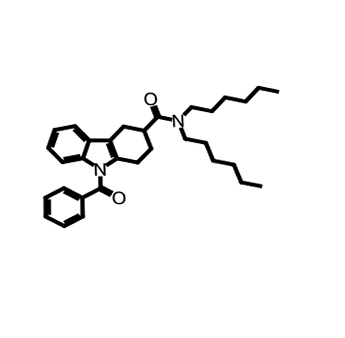 CCCCCCN(CCCCCC)C(=O)C1CCc2c(c3ccccc3n2C(=O)c2ccccc2)C1